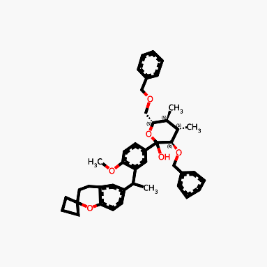 COc1ccc(C2(O)O[C@H](COCc3ccccc3)[C@@H](C)[C@H](C)[C@H]2OCc2ccccc2)cc1C(C)c1ccc2c(c1)CCC1(CCC1)O2